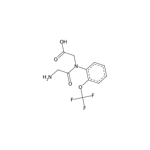 NCC(=O)N(CC(=O)O)c1ccccc1OC(F)(F)F